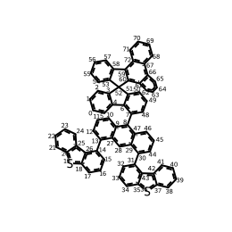 c1ccc2c(c1)-c1c(-c3c4cccc(-c5cccc6sc7ccccc7c56)c4cc4c(-c5cccc6sc7ccccc7c56)cccc34)cccc1C21c2ccccc2-c2c1c1ccccc1c1ccccc21